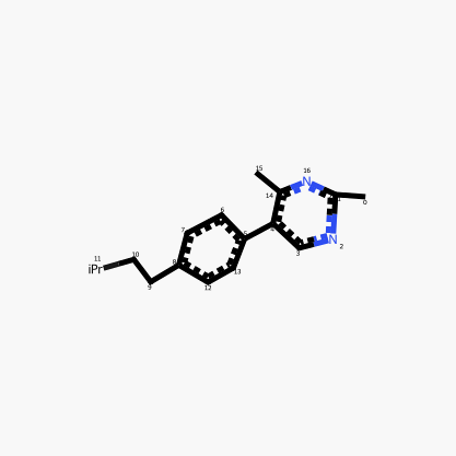 Cc1ncc(-c2ccc(CCC(C)C)cc2)c(C)n1